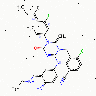 C=C1N(Cc2cc(C#N)ccc2Cl)C(NC2=C/C(=C/NCC)C(=N)C=C2)=NC(=O)N1C(/C=C(Cl)\C=C(/C)CC)=C/C